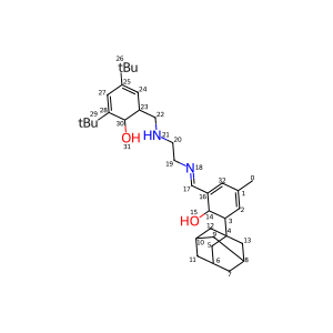 CC1=CC(C23CC4CC(CC(C4)C2)C3)C(O)C(/C=N/CCNCC2C=C(C(C)(C)C)C=C(C(C)(C)C)C2O)=C1